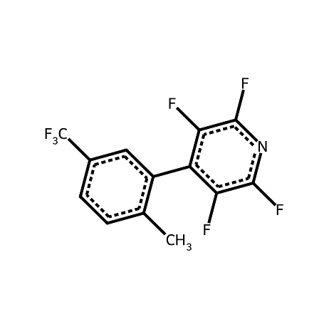 Cc1ccc(C(F)(F)F)cc1-c1c(F)c(F)nc(F)c1F